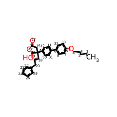 CCCCCOc1ccc(-c2ccc(C(CC=O)(CCCc3ccccc3)C(=O)O)cc2)cc1